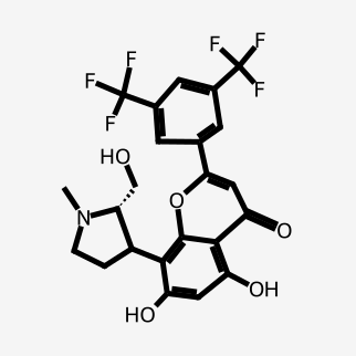 CN1CCC(c2c(O)cc(O)c3c(=O)cc(-c4cc(C(F)(F)F)cc(C(F)(F)F)c4)oc23)[C@H]1CO